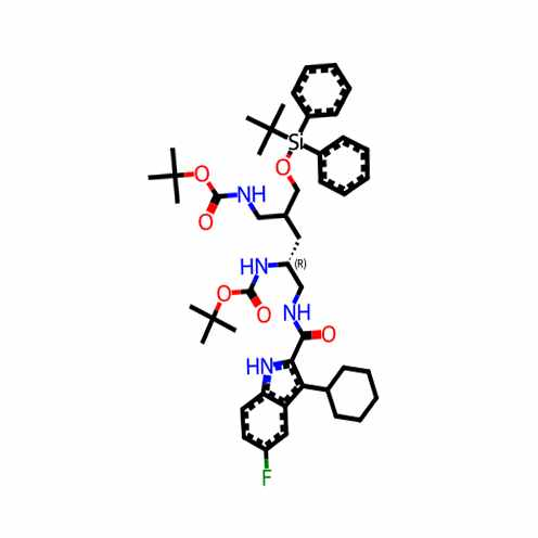 CC(C)(C)OC(=O)NCC(CO[Si](c1ccccc1)(c1ccccc1)C(C)(C)C)C[C@H](CNC(=O)c1[nH]c2ccc(F)cc2c1C1CCCCC1)NC(=O)OC(C)(C)C